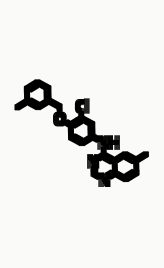 Cc1cccc(COc2ccc(Nc3ncnc4ccc(C)cc34)cc2Cl)c1